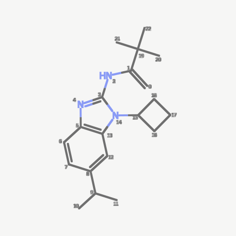 C=C(Nc1nc2ccc(C(C)C)cc2n1C1CCC1)C(C)(C)C